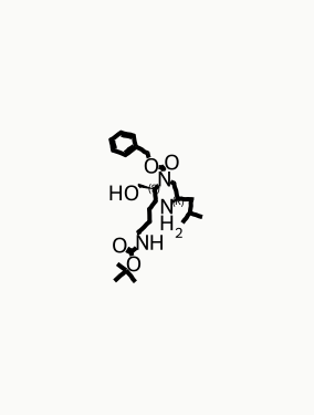 CC(C)C[C@@H](N)CN(C(=O)OCc1ccccc1)[C@H](CO)CCCCNC(=O)OC(C)(C)C